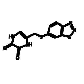 O=c1[nH]cc(CSc2ccc3nnsc3c2)[nH]c1=O